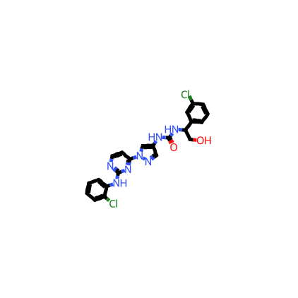 O=C(Nc1cnn(-c2ccnc(Nc3ccccc3Cl)n2)c1)NC(CO)c1cccc(Cl)c1